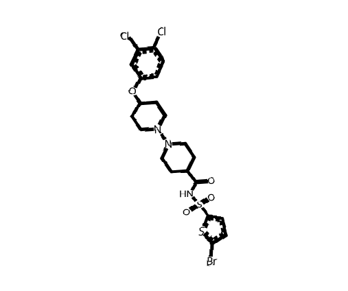 O=C(NS(=O)(=O)c1ccc(Br)s1)C1CCN(N2CCC(Oc3ccc(Cl)c(Cl)c3)CC2)CC1